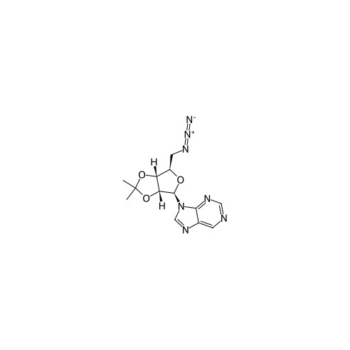 CC1(C)O[C@@H]2[C@H](O1)[C@@H](CN=[N+]=[N-])O[C@H]2n1cnc2cncnc21